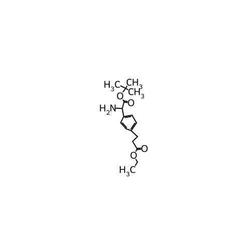 CCOC(=O)CCc1ccc(C(N)C(=O)OC(C)(C)C)cc1